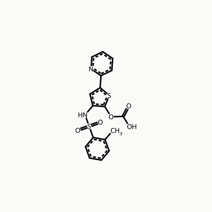 Cc1ccccc1S(=O)(=O)Nc1cc(-c2ccccn2)sc1OC(=O)O